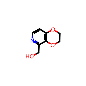 OCc1nccc2c1OCCO2